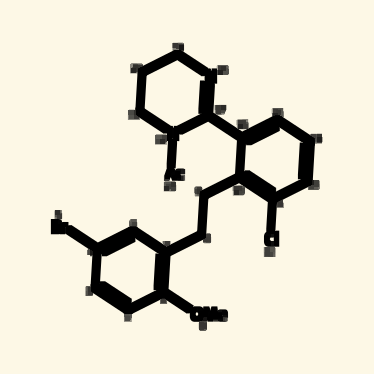 COc1ccc(Br)cc1CCc1c(Cl)cccc1C1=NCCCN1C(C)=O